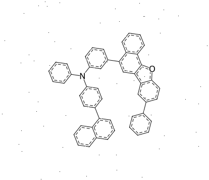 c1ccc(-c2ccc3oc4c5ccccc5c(-c5cccc(N(c6ccccc6)c6ccc(-c7cccc8ccccc78)cc6)c5)cc4c3c2)cc1